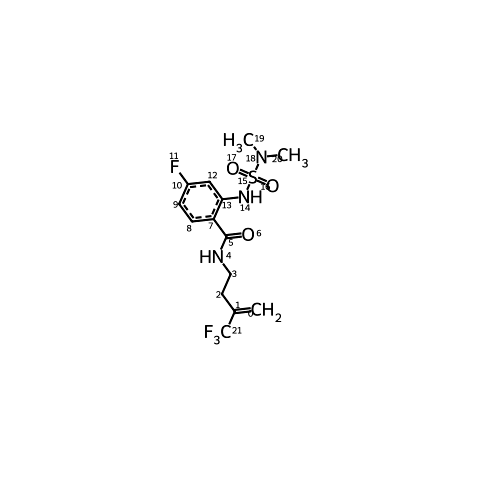 C=C(CCNC(=O)c1ccc(F)cc1NS(=O)(=O)N(C)C)C(F)(F)F